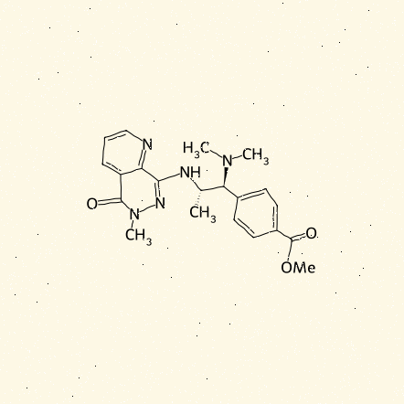 COC(=O)c1ccc([C@@H]([C@H](C)Nc2nn(C)c(=O)c3cccnc23)N(C)C)cc1